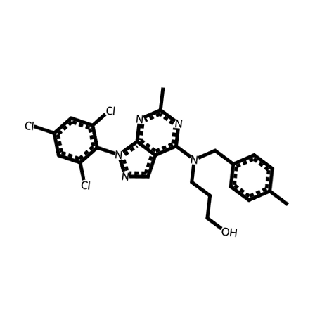 Cc1ccc(CN(CCCO)c2nc(C)nc3c2cnn3-c2c(Cl)cc(Cl)cc2Cl)cc1